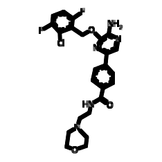 Nc1ncc(-c2ccc(C(=O)NCCN3CCOCC3)cc2)nc1OCc1c(F)ccc(F)c1Cl